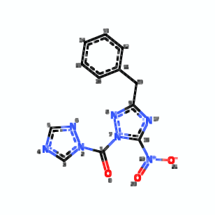 O=C(n1cncn1)n1nc(Cc2ccccc2)nc1[N+](=O)[O-]